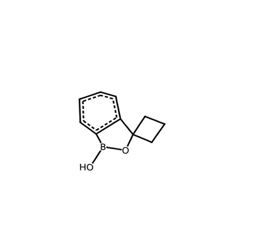 OB1OC2(CCC2)c2ccccc21